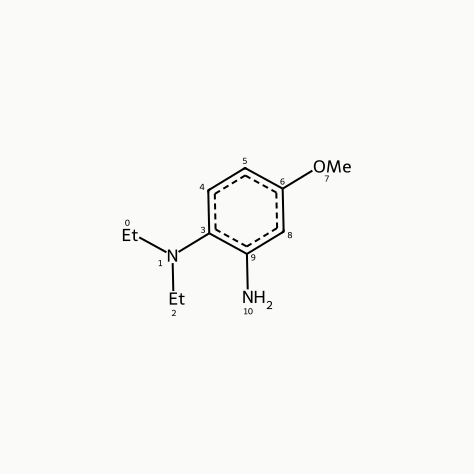 CCN(CC)c1ccc(OC)cc1N